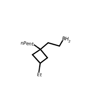 BCCC1(CCCCC)CC(CC)C1